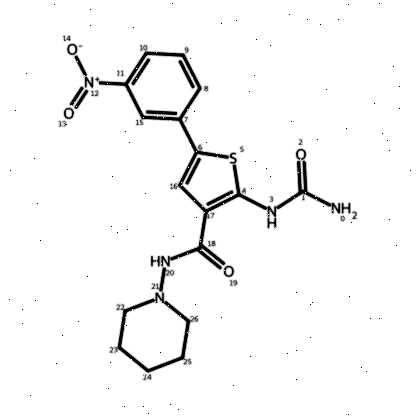 NC(=O)Nc1sc(-c2cccc([N+](=O)[O-])c2)cc1C(=O)NN1CCCCC1